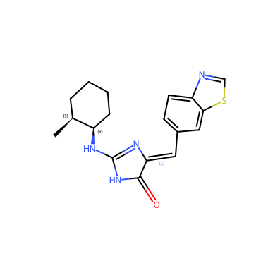 C[C@H]1CCCC[C@H]1NC1=N/C(=C\c2ccc3ncsc3c2)C(=O)N1